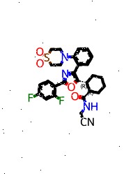 N#CCNC(=O)[C@@H]1CCCC[C@H]1c1oc(-c2ccc(F)cc2F)nc1-c1ccccc1N1CCS(=O)(=O)CC1